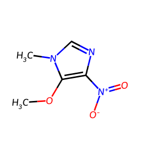 COc1c([N+](=O)[O-])ncn1C